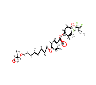 CC1(COCCCCCCCCOc2ccc(C(=O)Oc3ccc(OC(F)(F)C(F)C(F)(F)F)cc3)cc2)COC1